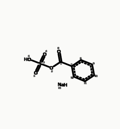 O=C(OS(=O)(=O)O)c1ccccc1.[NaH]